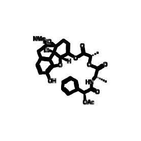 CC[C@]12c3c4ccc(O)c3O[C@H]1C(OC(=O)[C@H](C)OC(=O)[C@H](C)NC(=O)[C@@H](OC(C)=O)c1ccccc1)=CC[C@@]2(O)[C@H](NC)C4